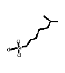 CC(C)CCCC[CH2][Sn]([Cl])([Cl])[Cl]